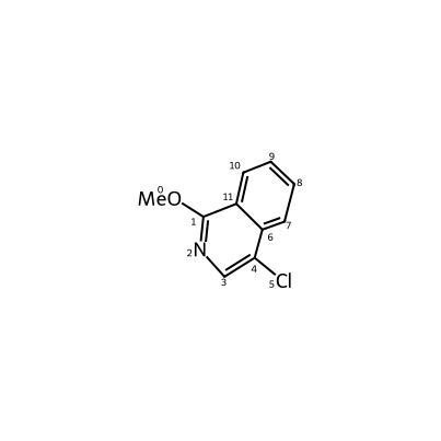 COc1ncc(Cl)c2ccccc12